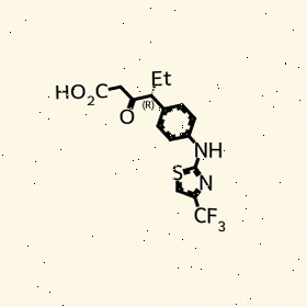 CC[C@@H](C(=O)CC(=O)O)c1ccc(Nc2nc(C(F)(F)F)cs2)cc1